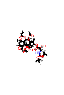 C=CC1O[C@H]2C[C@H]3OC[C@@]3(OC(C)=O)[C@H]3[C@H](O)[C@]4(C(C)(C)O)C[C@H](OC(=O)C(O)[C@H](CC(C)C)NC(=O)OC(C)(C)C)C(C)=C4[C@@](C)(OC(C)=O)[C@H](O1)[C@]23C